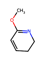 COC1=NCCC=C1